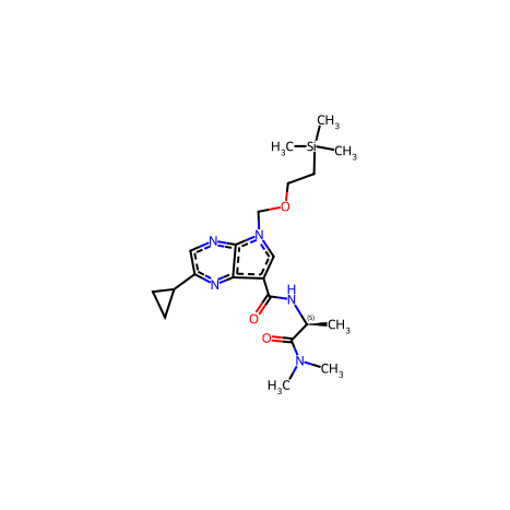 C[C@H](NC(=O)c1cn(COCC[Si](C)(C)C)c2ncc(C3CC3)nc12)C(=O)N(C)C